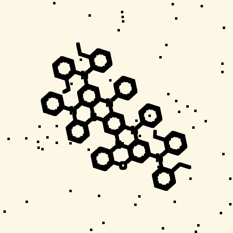 CCc1ccccc1N(c1cc2c3c(c1)N(c1ccccc1)c1cc4c(cc1B3c1ccccc1O2)B1c2ccccc2N(c2ccccc2)c2cc(N(c3ccccc3CC)c3ccccc3CC)cc(c21)N4c1ccccc1)c1ccccc1CC